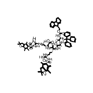 Cc1c(C)c(S(=O)(=O)NC(=N)NCCC[C@@H](NC(=O)[C@@H](CCCNC(=N)NS(=O)(=O)c2c(C)c(C)c3c(c2C)CC(C)(C)O3)NC(=O)[C@@H](C)NC(=O)[C@@H](CSC(c2ccccc2)(c2ccccc2)c2ccccc2)NC(=O)OCC2c3ccccc3-c3ccccc32)C(=O)O)c(C)c2c1OC(C)(C)C2